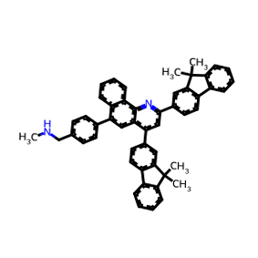 CNCc1ccc(-c2cc3c(-c4ccc5c(c4)C(C)(C)c4ccccc4-5)cc(-c4ccc5c(c4)C(C)(C)c4ccccc4-5)nc3c3ccccc23)cc1